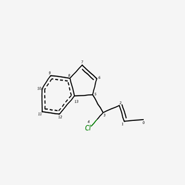 C/C=C/C(Cl)C1C=Cc2c[c]ccc21